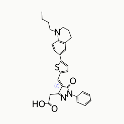 CCCCN1CCCc2cc(-c3ccc(/C=C4\C(=O)N(c5ccccc5)N=C4CC(=O)O)s3)ccc21